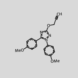 C#CCOc1nc(-c2ccc(OC)cc2)n(-c2ccc(OC)cc2)n1